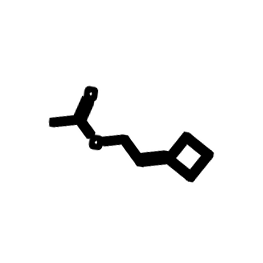 CC(=O)OCC=C1CCC1